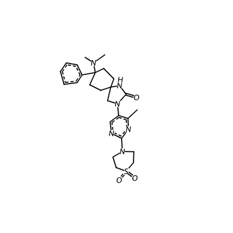 Cc1nc(N2CCS(=O)(=O)CC2)ncc1N1CC2(CCC(c3ccccc3)(N(C)C)CC2)NC1=O